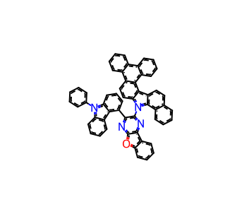 c1ccc(-n2c3ccccc3c3c(-c4nc5oc6ccccc6c5nc4-n4c5ccc6c7ccccc7c7ccccc7c6c5c5ccc6ccccc6c54)cccc32)cc1